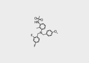 COc1ccc(CN(Cc2ccc(F)cc2F)c2cccc(NS(C)(=O)=O)c2C)cc1